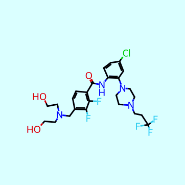 O=C(Nc1ccc(Cl)cc1N1CCN(CCC(F)(F)F)CC1)c1ccc(CN(CCO)CCO)c(F)c1F